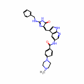 CN1CCN(c2ccc(C(=O)Nc3cnc4[nH]cc(C=C5N=C(NCc6ccccc6)NC5=O)c4c3)cc2)CC1